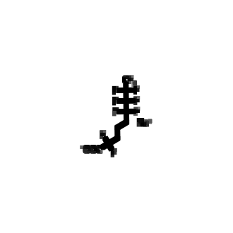 O=C([O-])C(F)(F)CCCC(F)(F)C(F)(F)C(F)(F)C(F)(F)F.[Na+]